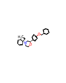 C=C[C@@]1(N2CCO[C@H](c3ccc(OCc4ccccc4)cc3)C2)C=CC=CC1